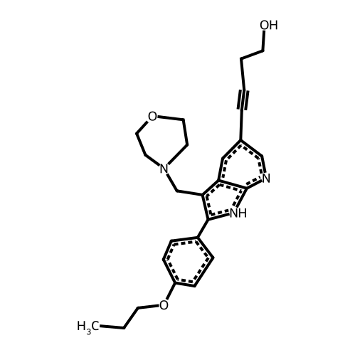 CCCOc1ccc(-c2[nH]c3ncc(C#CCCO)cc3c2CN2CCOCC2)cc1